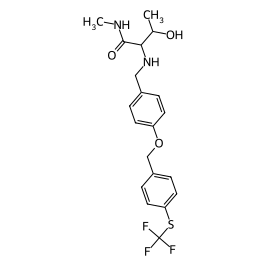 CNC(=O)C(NCc1ccc(OCc2ccc(SC(F)(F)F)cc2)cc1)C(C)O